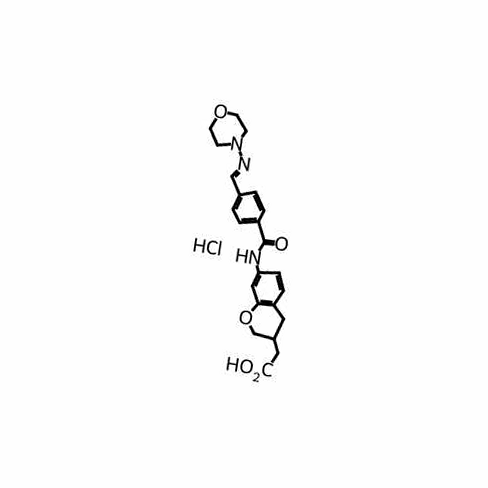 Cl.O=C(O)CC1COc2cc(NC(=O)c3ccc(C=NN4CCOCC4)cc3)ccc2C1